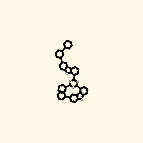 c1ccc(-c2cccc(-c3ccc4oc5c(-c6nc(-c7ccccc7)nc(-c7cccc8sc9ccc(-c%10ccccc%10)cc9c78)n6)cccc5c4c3)c2)cc1